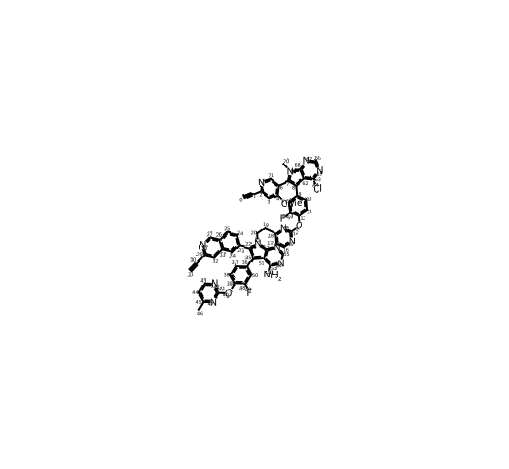 C#Cc1cc(OC)c(-c2c(-c3ccc(Oc4nccc(CCn5c(-c6ccc7cnc(C#C)cc7c6)c(-c6ccc(Oc7nccc(C)n7)c(F)c6)c6c(N)ncnc65)n4)c(F)c3)c3c(Cl)ncnc3n2C)cn1